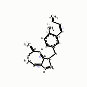 C=C/C=C\c1cc(CN2N=NC(=C/N)/C2=N\C(=C)I)ccc1N